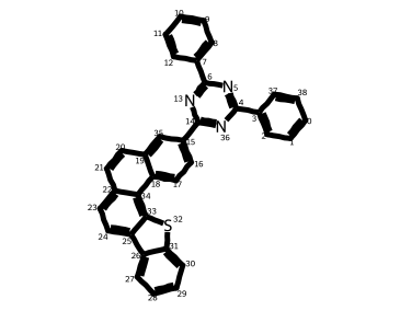 c1ccc(-c2nc(-c3ccccc3)nc(-c3ccc4c(ccc5ccc6c7ccccc7sc6c54)c3)n2)cc1